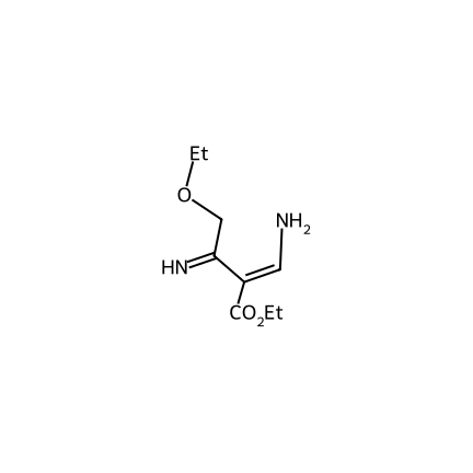 CCOCC(=N)/C(=C\N)C(=O)OCC